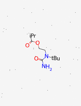 CC(C)C(=O)OCCN(C(N)=O)C(C)(C)C